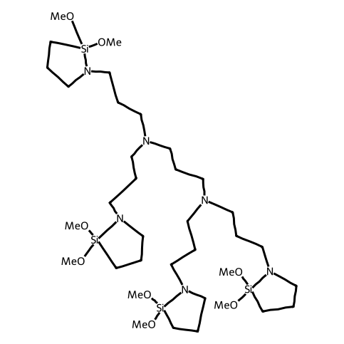 CO[Si]1(OC)CCCN1CCCN(CCCN(CCCN1CCC[Si]1(OC)OC)CCCN1CCC[Si]1(OC)OC)CCCN1CCC[Si]1(OC)OC